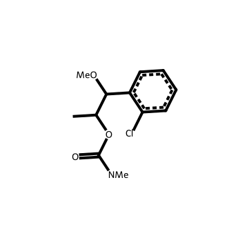 CNC(=O)OC(C)C(OC)c1ccccc1Cl